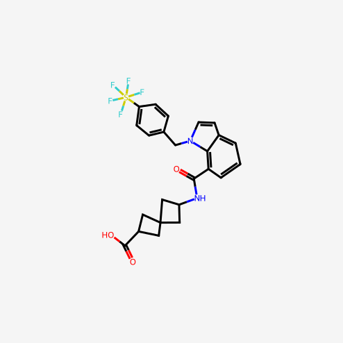 O=C(NC1CC2(C1)CC(C(=O)O)C2)c1cccc2ccn(Cc3ccc(S(F)(F)(F)(F)F)cc3)c12